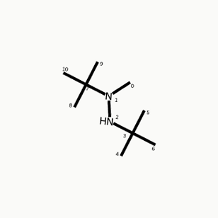 CN(NC(C)(C)C)C(C)(C)C